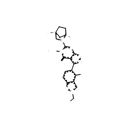 CCn1cc2c(Cl)c(-c3n[nH]c4nc(N5C[C@@H]6CC[C@H]5[C@H]6N)n(C)c(=O)c34)ccc2n1